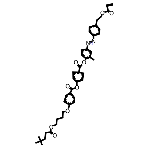 C=CC(=O)OCCc1ccc(/N=N/c2ccc(OC(=O)c3ccc(OC(=O)c4ccc(OCCCCOC(=O)CCC(C)(C)C)cc4)cc3)c(C)c2)cc1